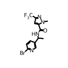 CC(NC(=O)c1cc(C(F)(F)F)nn1C)c1ccc(Br)nc1